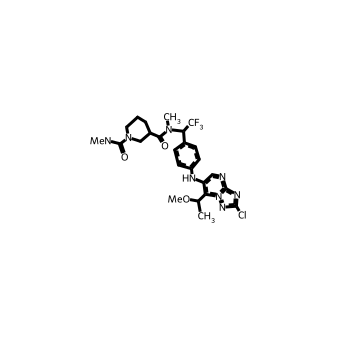 CNC(=O)N1CCCC(C(=O)N(C)C(c2ccc(Nc3cnc4nc(Cl)nn4c3C(C)OC)cc2)C(F)(F)F)C1